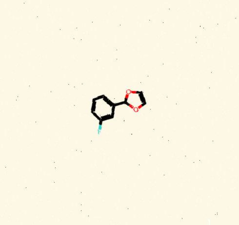 Fc1cccc(C2O[C]=CO2)c1